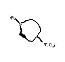 CCC(C)N1CCC(C(=O)O)CC1